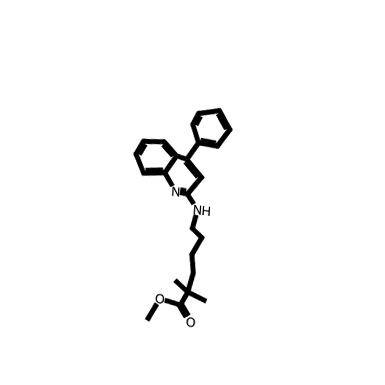 COC(=O)C(C)(C)CCCCNc1cc(-c2ccccc2)c2ccccc2n1